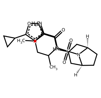 CC1CN(S(=O)(=O)N2[C@@H]3CC[C@H]2C[C@@H](NC(=O)c2cc(C4CC4)on2)C3)C(C)CN1C